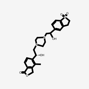 Cc1c([C@@H](O)CN2CCN(CC(O)c3ccc4c(c3)CCS4(=O)=O)CC2)ccc2c1COC2=O